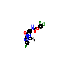 Cn1c(CNC(=O)C23CCC(NC(=O)COc4ccc(Cl)c(F)c4)(CC2)CC3)nc2cc(F)ccc21